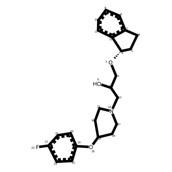 OC(CO[C@H]1CCc2ccccc21)CN1CCC(Oc2ccc(F)cc2)CC1